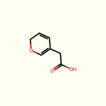 O=C(O)CC1=COCC=C1